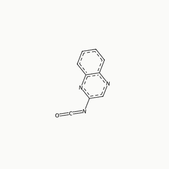 O=C=Nc1cnc2ccccc2n1